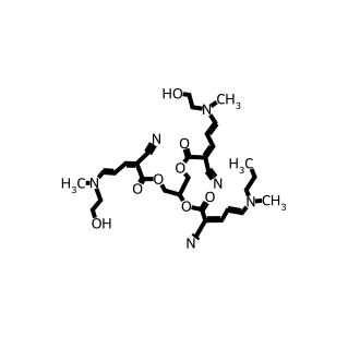 CCCN(C)/C=C/C=C(/C#N)C(=O)OC(COC(=O)/C(C#N)=C\C=C\N(C)CCO)COC(=O)/C(C#N)=C\C=C\N(C)CCO